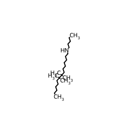 CCCCCCC(C)(C)C(C)(C)CCCCCCCNCCCCC